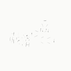 CC1(C)OB(c2ccc3c(c2)c2ccc4ccccc4c2c2nc4ccccc4n32)OC1(C)C